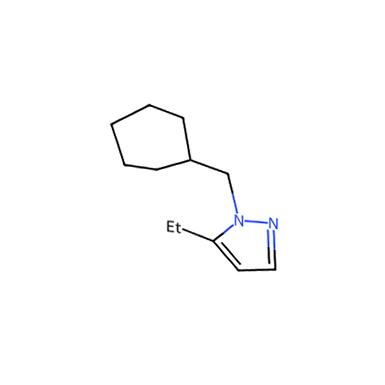 CCc1ccnn1CC1CCCCC1